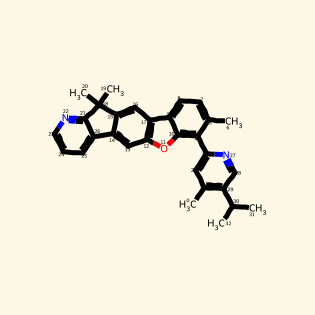 Cc1cc(-c2c(C)ccc3c2oc2cc4c(cc23)C(C)(C)c2ncccc2-4)ncc1C(C)C